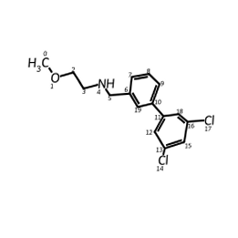 COCCNCc1cccc(-c2cc(Cl)cc(Cl)c2)c1